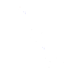 O=C(/C=C/c1ccc2c(c1)CCN(CCC1CCCCC1)C2)NO